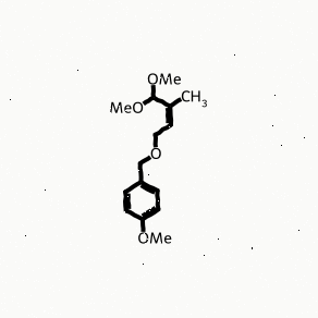 COc1ccc(COCC=C(C)C(OC)OC)cc1